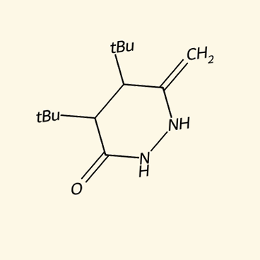 C=C1NNC(=O)C(C(C)(C)C)C1C(C)(C)C